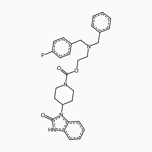 O=C(OCCN(Cc1ccccc1)Cc1ccc(F)cc1)N1CCC(n2c(=O)[nH]c3ccccc32)CC1